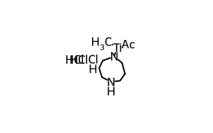 C[C](=O)[Ti]([CH3])[N]1CCCNCCC1.Cl.Cl.Cl